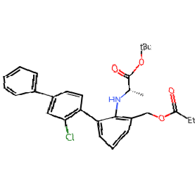 CCC(=O)OCc1cccc(-c2ccc(-c3ccccc3)cc2Cl)c1N[C@@H](C)C(=O)OC(C)(C)C